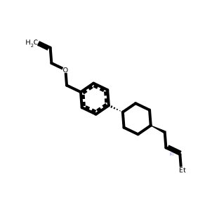 C=CCOCc1ccc([C@H]2CC[C@H](C/C=C/CC)CC2)cc1